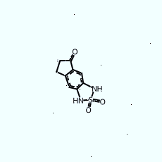 O=C1[C]Cc2cc3c(cc21)NS(=O)(=O)N3